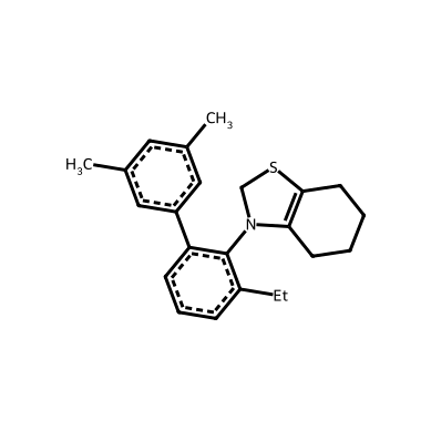 CCc1cccc(-c2cc(C)cc(C)c2)c1N1CSC2=C1CCCC2